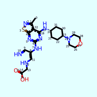 Cc1nsc2nc(N/C(C=N)=C/NCC(=O)O)nc(N[C@H]3CC[C@H](N4CCOCC4)CC3)c12